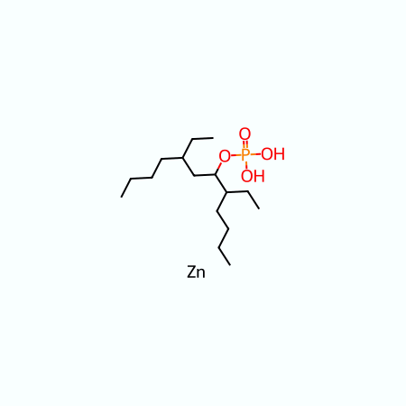 CCCCC(CC)CC(OP(=O)(O)O)C(CC)CCCC.[Zn]